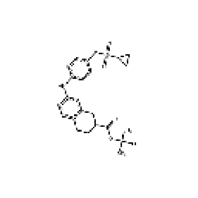 CC(C)(C)OC(=O)N1CCc2cnc(Nc3ccc(CS(=O)(=O)C4CC4)cn3)cc2C1